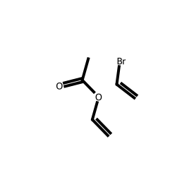 C=CBr.C=COC(C)=O